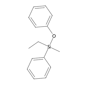 CC[Si](C)(Oc1ccccc1)c1ccccc1